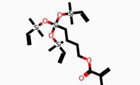 C=C[Si](C)(C)O[Si](CCCCOC(=O)C(=C)C)(O[Si](C)(C)C=C)O[Si](C)(C)C=C